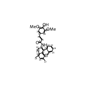 COc1cc(C=CC(=O)Nc2cnc3c(C)cc(C)cc3c2-c2ccccc2Cl)cc(OC)c1O